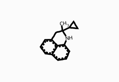 CC1(C2CC2)Cc2cccc3cccc(c23)N1